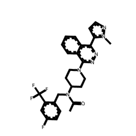 CC(=O)N(Cc1ccc(F)cc1C(F)(F)F)C1CCN(c2nnc(-c3ccnn3C)c3ccccc23)CC1